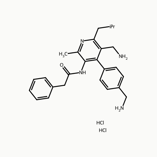 Cc1nc(CC(C)C)c(CN)c(-c2ccc(CN)cc2)c1NC(=O)Cc1ccccc1.Cl.Cl